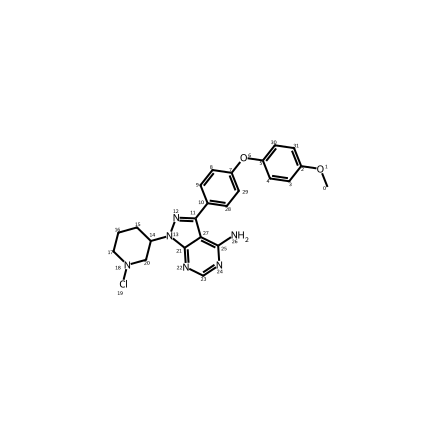 COc1ccc(Oc2ccc(-c3nn(C4CCCN(Cl)C4)c4ncnc(N)c34)cc2)cc1